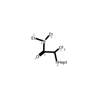 CCCCCCCC(C(=O)N(CC)CC)C(F)(F)F